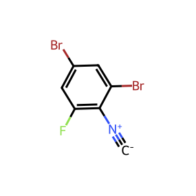 [C-]#[N+]c1c(F)cc(Br)cc1Br